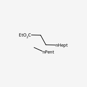 CCCCCC.CCCCCCCCCC(=O)OCC